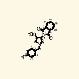 CC(C)(C)C1CN(Cc2ccc(F)cc2)N=C1N1C(=O)c2ccccc2C1=O